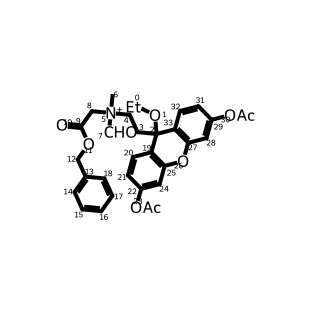 CCOC1(CC[N+](C)(C=O)CC(=O)OCc2ccccc2)c2ccc(OC(C)=O)cc2Oc2cc(OC(C)=O)ccc21